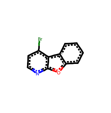 Brc1ccnc2oc3ccccc3c12